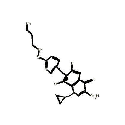 O=C(O)c1cn(C2CC2)c2c(Cl)c(-c3ccc(SNCCCC(F)(F)F)nc3)c(F)cc2c1=O